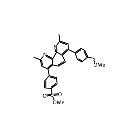 COSc1ccc(-c2cc(C)nc3c2ccc2c(-c4ccc(S(=O)(=O)OC)cc4)cc(C)nc23)cc1